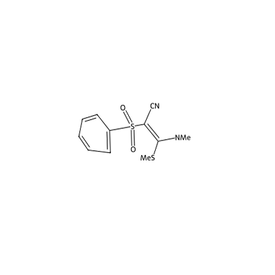 CNC(SC)=C(C#N)S(=O)(=O)c1ccccc1